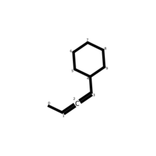 CC=C=CC1CCCCC1